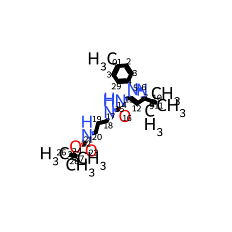 Cc1ccc(-n2nc(C(C)(C)C)cc2NC(=O)NCCCNC(=O)OC(C)(C)C)cc1